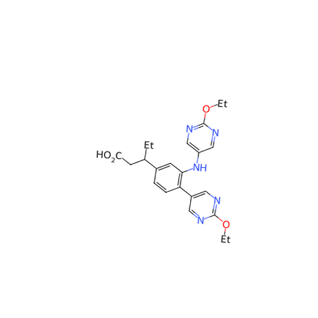 CCOc1ncc(Nc2cc(C(CC)CC(=O)O)ccc2-c2cnc(OCC)nc2)cn1